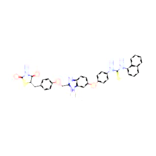 Cn1c(COc2ccc(CC3SC(=O)NC3=O)cc2)nc2ccc(Oc3ccc(NC(=S)Nc4cccc5ccccc45)cc3)cc21